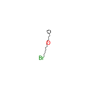 BrCCCCCCCCOCCCCc1ccccc1